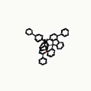 c1ccc(-c2ccc(N(c3ccc(-c4ccccc4)cc3)c3ccc(-c4ccccc4)c4c3C(c3ccccc3)(c3ccccc3)c3ccccc3-4)cc2)cc1